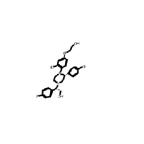 OCCOc1ccc(N2CCN([C@H](CO)c3ccc(F)cc3)C[C@H]2c2ccc(Cl)cc2)c(Cl)c1